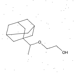 CC(OCCO)C12CC3CC(CC(C3)C1)C2